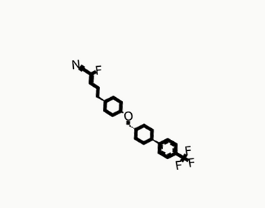 N#CC(F)=CCC[C@H]1CC[C@H](OC[C@H]2CC[C@H](c3ccc(C(F)(F)F)cc3)CC2)CC1